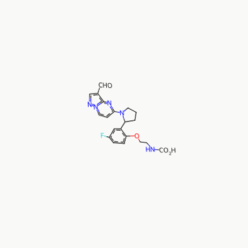 O=Cc1cnn2ccc(N3CCCC3c3cc(F)ccc3OCCNC(=O)O)nc12